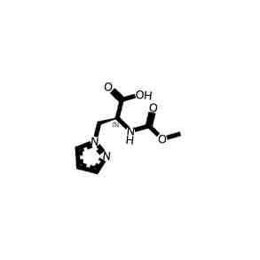 COC(=O)N[C@@H](Cn1cccn1)C(=O)O